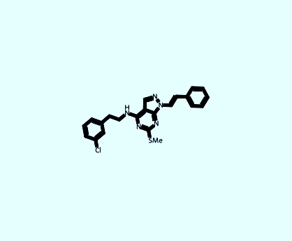 CSc1nc(NCCc2cccc(Cl)c2)c2cnn(/C=C/c3ccccc3)c2n1